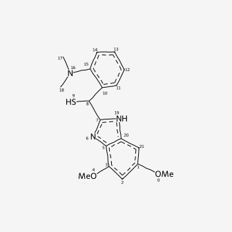 COc1cc(OC)c2nc(C(S)c3ccccc3N(C)C)[nH]c2c1